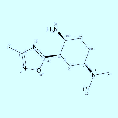 Cc1noc([C@@H]2C[C@H](N(C)C(C)C)CC[C@@H]2N)n1